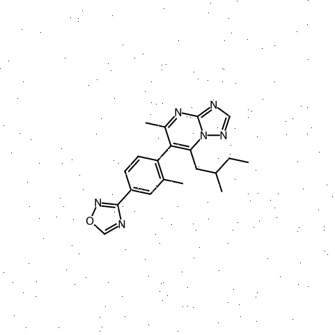 CCC(C)Cc1c(-c2ccc(-c3ncon3)cc2C)c(C)nc2ncnn12